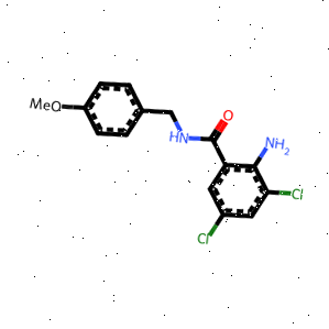 COc1ccc(CNC(=O)c2cc(Cl)cc(Cl)c2N)cc1